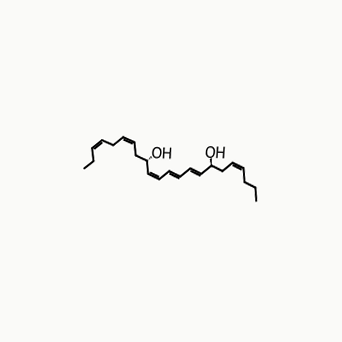 CC/C=C\C/C=C\C[C@H](O)\C=C/C=C/C=C/[C@@H](O)C/C=C\CCC